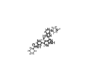 CN1CCN(c2nccc3[nH]c(-c4n[nH]c5ncc(-c6cncc(NC(=O)C7CCCCC7)c6)c(F)c45)nc23)CC1